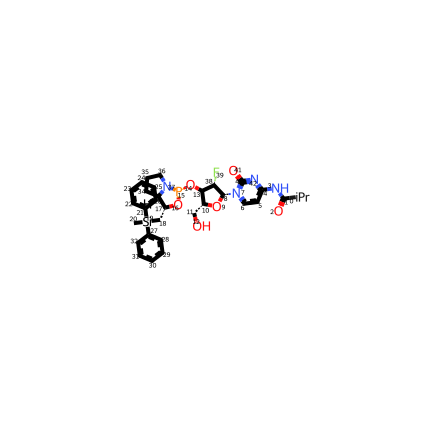 CC(C)C(=O)Nc1ccn([C@@H]2O[C@H](CO)C(O[P@@]3O[C@H](C[Si](C)(c4ccccc4)c4ccccc4)[C@@H]4CCCN43)[C@@H]2F)c(=O)n1